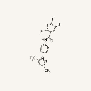 O=C(Nc1ccc(-n2nc(C(F)(F)F)cc2C(F)(F)F)cc1)c1cc(F)c(F)cc1F